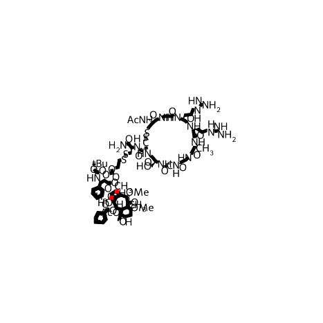 CO[C@@H]1C(=O)[C@@]2(C)[C@H](OC)C[C@@H]3OC[C@]3(OC(C)=O)[C@@H]2[C@@H](OC(=O)c2ccccc2)[C@@]2(O)CC(OC(=O)[C@@H](OC(=O)OCCSSC[C@H](NC(=O)[C@@H]3CSSC[C@H](NC(C)=O)C(=O)NCC(=O)N[C@@H](CCCNC(=N)N)C(=O)N[C@@H](CCCNC(=N)N)C(=O)N[C@@H](C)C(=O)NCC(=O)NCC(=O)N[C@@H](CO)C(=O)N3)C(N)=O)[C@H](NC(=O)OC(C)(C)C)c3ccccc3)C(C)=C1C2(C)C